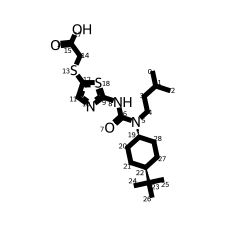 CC(C)CCN(C(=O)Nc1ncc(SCC(=O)O)s1)[C@H]1CC[C@H](C(C)(C)C)CC1